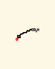 O=C(O)CCCCCCCC1CC(=O)C1